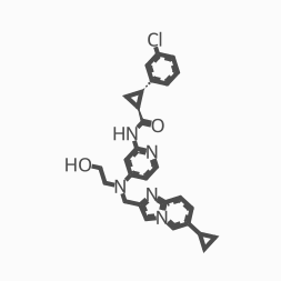 O=C(Nc1cc(N(CCO)Cc2cn3cc(C4CC4)ccc3n2)ccn1)[C@H]1C[C@@H]1c1cccc(Cl)c1